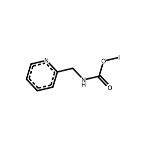 O=C(NCc1ccccn1)OI